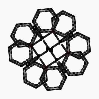 O=[P](c1ccccc1)(c1ccccc1)[Pd]([P](=O)(c1ccccc1)c1ccccc1)([P](=O)(c1ccccc1)c1ccccc1)[P](=O)(c1ccccc1)c1ccccc1